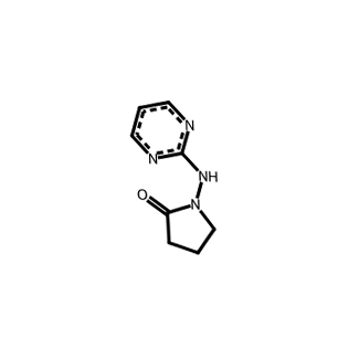 O=C1CCCN1Nc1ncccn1